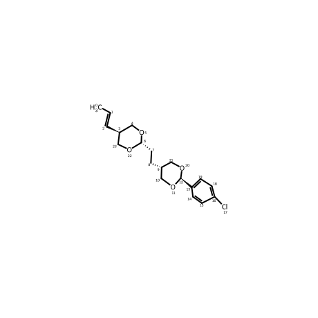 CC=C[C@H]1CO[C@H](CC[C@H]2CO[C@H](c3ccc(Cl)cc3)OC2)OC1